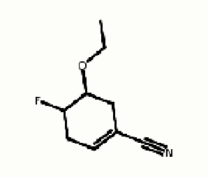 CCOC1CC(C#N)=CCC1F